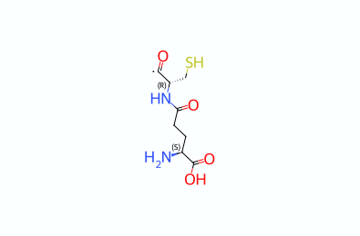 N[C@@H](CCC(=O)N[C@H]([C]=O)CS)C(=O)O